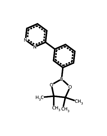 CC1(C)OB(c2cccc(-c3cccnn3)c2)OC1(C)C